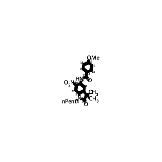 CCCCCN1C(=O)C(C)(C)c2cc(NC(=O)c3ccc(OC)cc3)c([N+](=O)[O-])cc21